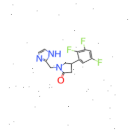 O=C1CC(c2cc(F)cc(F)c2F)CN1Cc1ncc[nH]1